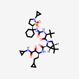 CC(C)(C)[C@H](NC(=O)NC1([C@H]2CCN(C3CC3)S2(=O)=O)CCCCC1)C(=O)N1C[C@H]2[C@@H]([C@H]1C(=O)N[C@@H](CCC1CC1)C(=O)C(=O)NC1CC1)C2(C)C